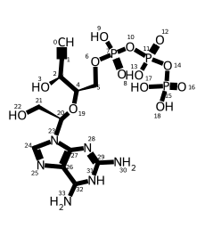 C#C[C@H](O)[C@@H](COP(=O)(O)OP(=O)(O)OP(=O)(O)O)O[C@H](CO)n1cnc2c1N=C(N)NC2N